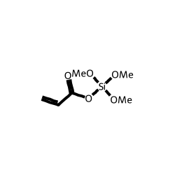 C=CC(=O)O[Si](OC)(OC)OC